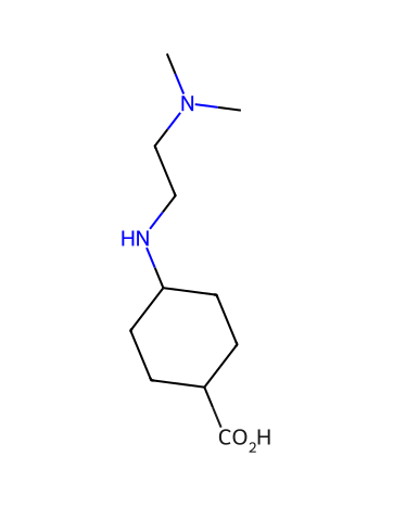 CN(C)CCNC1CCC(C(=O)O)CC1